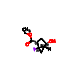 CCOC(=O)[C@@H]1C[C@H](O)[C@@H]2C[C@]12I